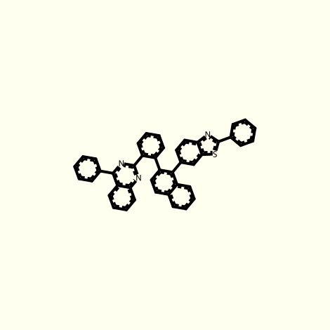 c1ccc(-c2nc3ccc(-c4c(-c5ccccc5-c5nc(-c6ccccc6)c6ccccc6n5)ccc5ccccc45)cc3s2)cc1